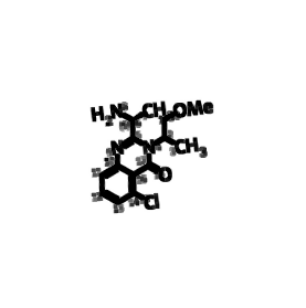 COCC(C)n1c([C@H](C)N)nc2cccc(Cl)c2c1=O